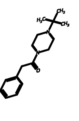 CC(C)(C)N1CCN(C(=O)Cc2ccccc2)CC1